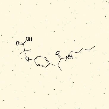 CCCCCNC(=O)C(C)c1ccc(OC(C)(C)C(=O)O)cc1